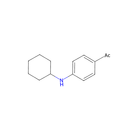 CC(=O)c1ccc(NC2CCCCC2)cc1